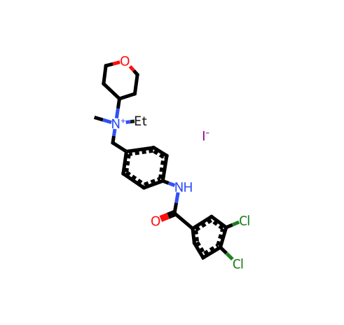 CC[N+](C)(Cc1ccc(NC(=O)c2ccc(Cl)c(Cl)c2)cc1)C1CCOCC1.[I-]